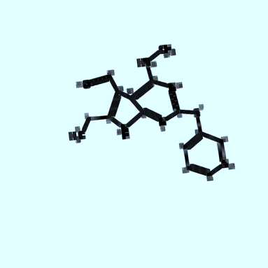 CCc1[nH]c2nc(Sc3cccnc3)nc(NC)c2c1C=O